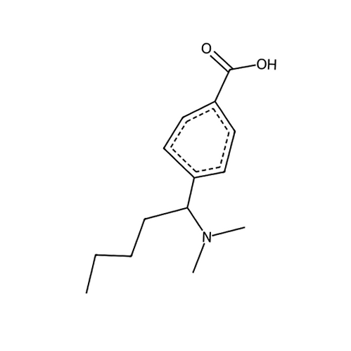 CCCCC(c1ccc(C(=O)O)cc1)N(C)C